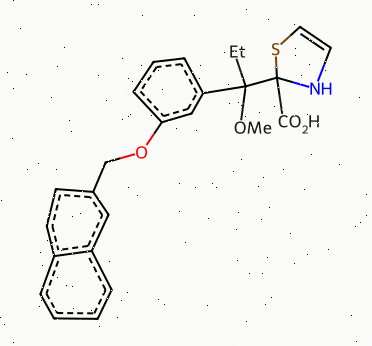 CCC(OC)(c1cccc(OCc2ccc3ccccc3c2)c1)C1(C(=O)O)NC=CS1